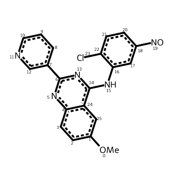 COc1ccc2nc(-c3cccnc3)nc(Nc3cc(N=O)ccc3Cl)c2c1